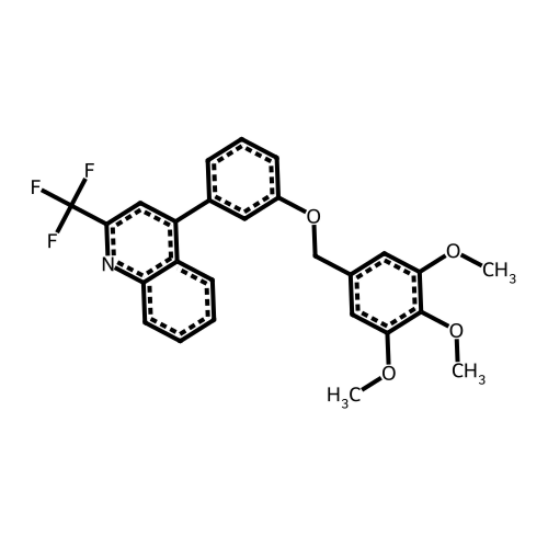 COc1cc(COc2cccc(-c3cc(C(F)(F)F)nc4ccccc34)c2)cc(OC)c1OC